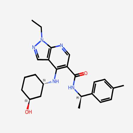 CCn1ncc2c(N[C@H]3CCC[C@H](O)C3)c(C(=O)N[C@H](C)c3ccc(C)cc3)cnc21